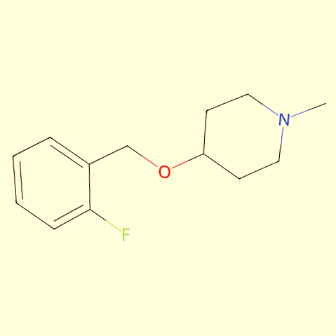 CN1CCC(OCc2ccccc2F)CC1